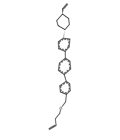 C=CCCOCc1ccc(-c2ccc(-c3ccc([C@H]4CC[C@H](C=C)CC4)cc3)cc2)cc1